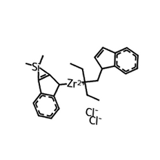 CC[C](CC)(CC1C=Cc2ccccc21)[Zr+2][CH]1C2=C(c3ccccc31)[Si]2(C)C.[Cl-].[Cl-]